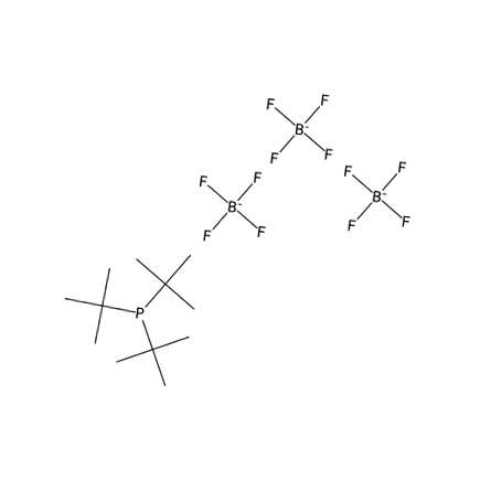 CC(C)(C)P(C(C)(C)C)C(C)(C)C.F[B-](F)(F)F.F[B-](F)(F)F.F[B-](F)(F)F